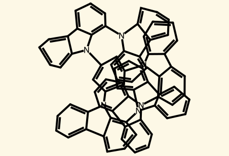 c1ccc2c(c1)c1ccccc1n2-c1cccc2c3ccccc3n(-c3cc(-n4c5ccccc5c5cccc(-n6c7ccccc7c7ccccc76)c54)cc(-n4c5ccccc5c5cccc(-n6c7ccccc7c7ccccc76)c54)c3)c12